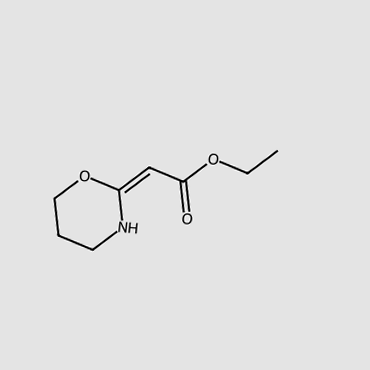 CCOC(=O)C=C1NCCCO1